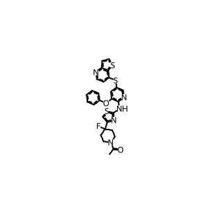 CC(=O)N1CCC(F)(c2csc(Nc3ncc(Sc4ccnc5ccsc45)cc3Oc3ccccc3)n2)CC1